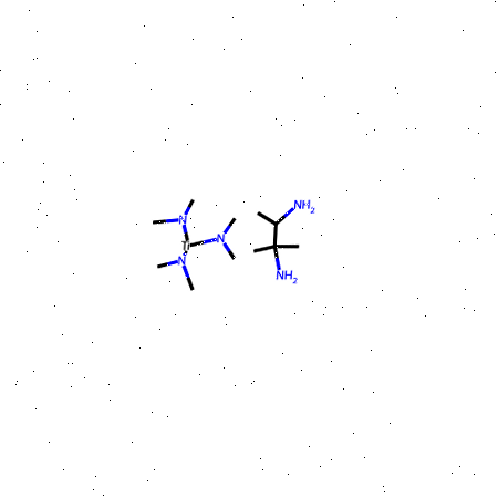 CC(N)C(C)(C)N.C[N](C)[Ti]([N](C)C)[N](C)C